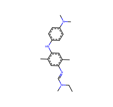 CCN(C)C=Nc1cc(C)c(Nc2ccc(N(C)C)cc2)cc1C